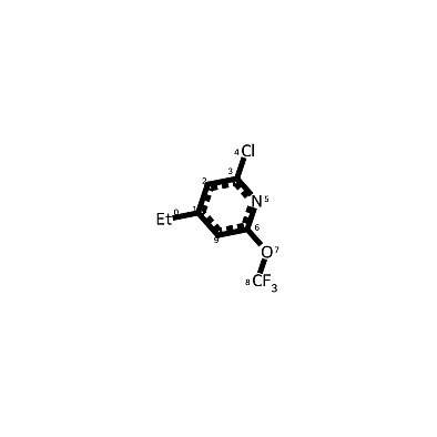 CCc1cc(Cl)nc(OC(F)(F)F)c1